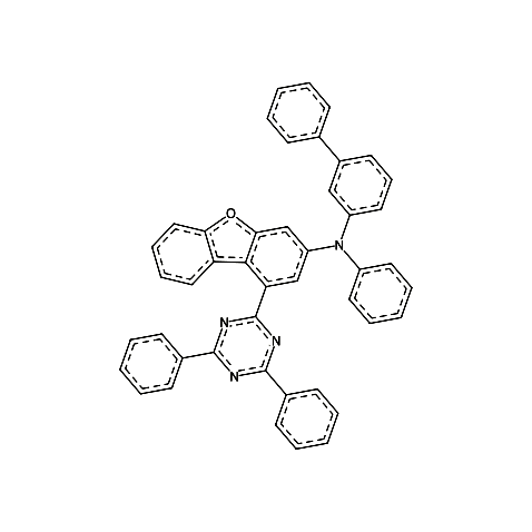 c1ccc(-c2cccc(N(c3ccccc3)c3cc(-c4nc(-c5ccccc5)nc(-c5ccccc5)n4)c4c(c3)oc3ccccc34)c2)cc1